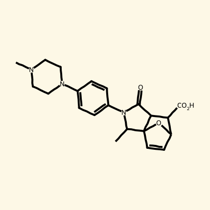 CC1N(c2ccc(N3CCN(C)CC3)cc2)C(=O)C2C(C(=O)O)C3C=CC21O3